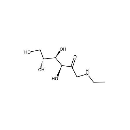 CCNCC(=O)[C@@H](O)[C@H](O)[C@H](O)CO